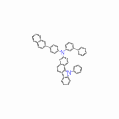 c1ccc(-c2cccc(N(c3ccc(-c4ccc5ccccc5c4)cc3)c3ccc4c(ccc5c6ccccc6n(-c6ccccc6)c45)c3)c2)cc1